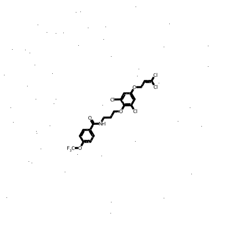 O=C(NCCCOc1c(Cl)cc(OCC=C(Cl)Cl)cc1Cl)c1ccc(OC(F)(F)F)cc1